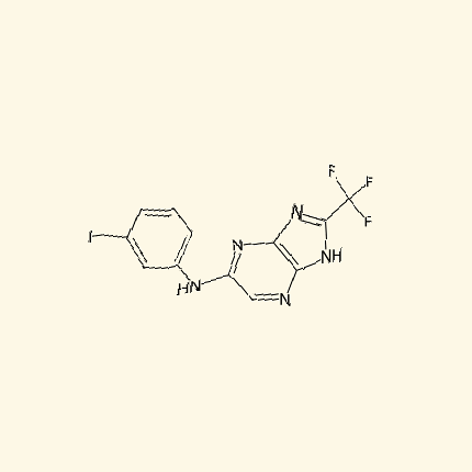 FC(F)(F)c1nc2nc(Nc3cccc(I)c3)cnc2[nH]1